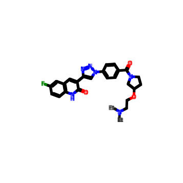 CCN(CC)CCOC1CCN(C(=O)c2ccc(-n3cc(-c4cc5cc(F)ccc5[nH]c4=O)nn3)cc2)C1